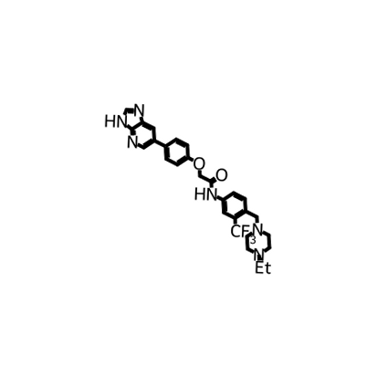 CCN1CCN(Cc2ccc(NC(=O)COc3ccc(-c4cnc5[nH]cnc5c4)cc3)cc2C(F)(F)F)CC1